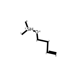 C=CCCO[SiH](C)C